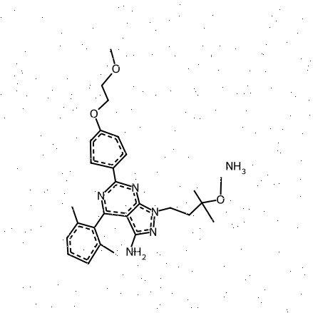 COCCOc1ccc(-c2nc(-c3c(C)cccc3C)c3c(N)nn(CCC(C)(C)OC)c3n2)cc1.N